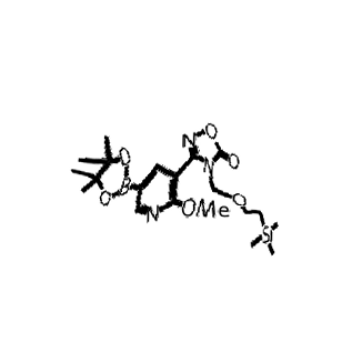 COc1ncc(B2OC(C)(C)C(C)(C)O2)cc1-c1noc(=O)n1COCC[Si](C)(C)C